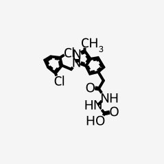 Cc1nn(Cc2c(Cl)cccc2Cl)c2cc(CC(=O)NNC(=O)O)ccc12